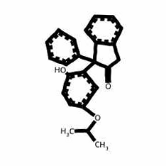 CC(C)Oc1ccc(O)c(C2(c3ccccc3)C(=O)Cc3ccccc32)c1